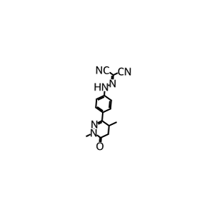 CC1CC(=O)N(C)N=C1c1ccc(NN=C(C#N)C#N)cc1